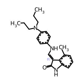 CCCN(CCC)c1ccc(N/C=C2/C(=O)Nc3cccc(C)c32)cc1